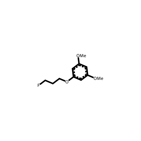 COc1cc(OC)cc(OCCCF)c1